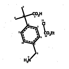 CC(C)(C(=O)O)c1ccc(CN)cc1.CCOC(=O)Cl